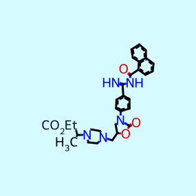 CCOC(=O)C(C)N1CCN(CC2CN(c3ccc(C(=N)NC(=O)c4cccc5ccccc45)cc3)C(=O)O2)CC1